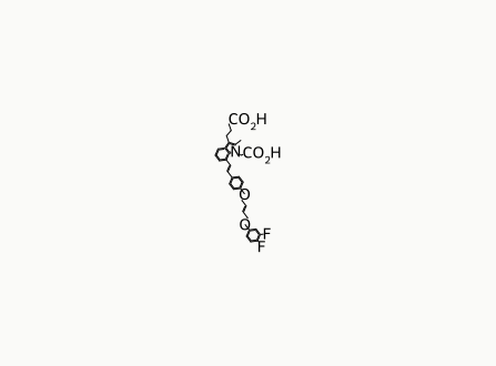 Cc1c(CCCC(=O)O)c2cccc(C=Cc3ccc(OC/C=C/COc4ccc(F)c(F)c4)cc3)c2n1CC(=O)O